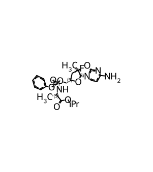 CC(C)OC(=O)[C@H](C)N[P@@](=O)(OC[C@@H]1C[C@@](C)(F)[C@H](n2ccc(N)nc2=O)O1)Oc1ccccc1